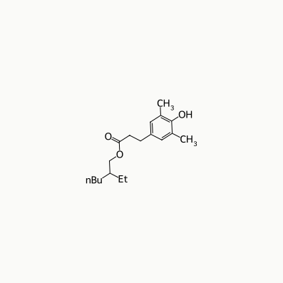 CCCCC(CC)COC(=O)CCc1cc(C)c(O)c(C)c1